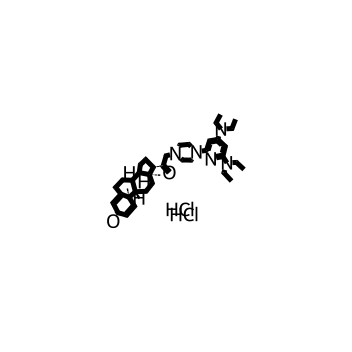 CCN(CC)c1cc(N(CC)CC)nc(N2CCN(CC(=O)[C@H]3CC[C@H]4[C@@H]5CCC6=CC(=O)C=C[C@]6(C)[C@H]5CC[C@]34C)CC2)c1.Cl.Cl